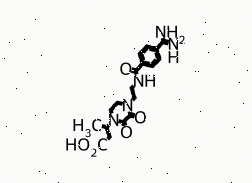 CC(CC(=O)O)N1CCN(CCNC(=O)c2ccc(C(=N)N)cc2)C(=O)C1=O